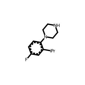 CC(C)c1cc(F)ccc1N1CCNCC1